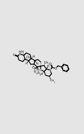 C[C@H]1C[C@H]2O[C@]3(CC[C@H]4[C@@H]5CC[C@@H]6NC(=O)CC[C@]6(C)[C@H]5C[C@]4(C)C3(C)C)[C@H](C)[C@@H]2N(C(=O)OCc2ccccc2)C1